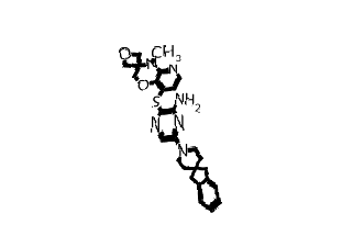 CN1c2nccc(Sc3ncc(N4CCC5(CC4)Cc4ccccc4C5)nc3N)c2OCC12COC2